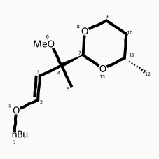 CCCCOC=CC(C)(OC)[C@H]1OCC[C@H](C)O1